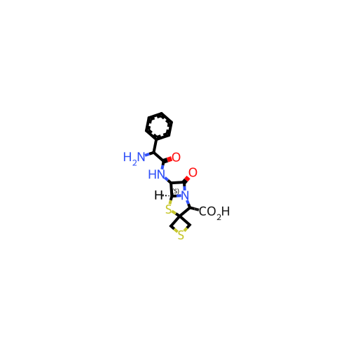 NC(C(=O)NC1C(=O)N2C(C(=O)O)C3(CSC3)S[C@@H]12)c1ccccc1